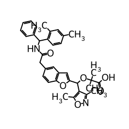 Cc1ccc(C(NC(=O)Cc2ccc3oc(C(OC(C)(C)C(=O)O)c4c(C)noc4C)cc3c2)c2ccccc2)c(C)c1